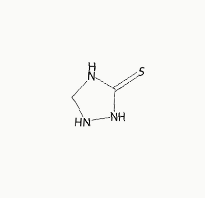 S=C1NCNN1